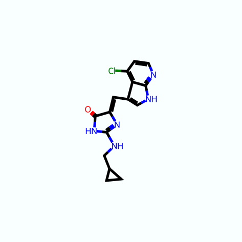 O=C1NC(NCC2CC2)=N/C1=C\c1c[nH]c2nccc(Cl)c12